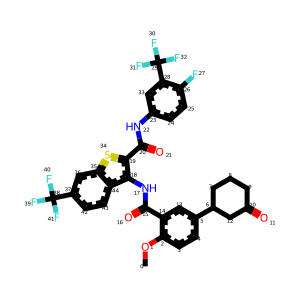 COc1ccc(C2CCCC(=O)C2)cc1C(=O)Nc1c(C(=O)Nc2ccc(F)c(C(F)(F)F)c2)sc2cc(C(F)(F)F)ccc12